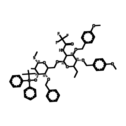 CCC1O[C@@H](OCC2O[C@@H](SC)C(C)[C@@H](O[Si](c3ccccc3)(c3ccccc3)C(C)(C)C)[C@H]2OCc2ccccc2)C(NC(=O)C(F)(F)F)[C@@H](OCc2ccc(OC)cc2)[C@@H]1OCc1ccc(OC)cc1